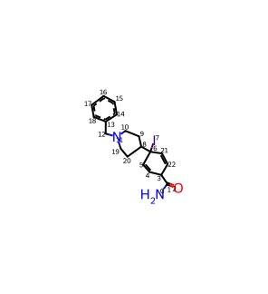 NC(=O)C1C=CC(I)(C2CCN(Cc3ccccc3)CC2)C=C1